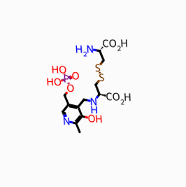 Cc1ncc(COP(=O)(O)O)c(CN[C@@H](CSSC[C@H](N)C(=O)O)C(=O)O)c1O